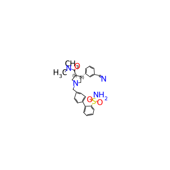 CN(C)C(=O)[C@@H]1CN(Cc2ccc(-c3ccccc3S(N)(=O)=O)cc2)C[C@H]1c1cccc(C#N)c1